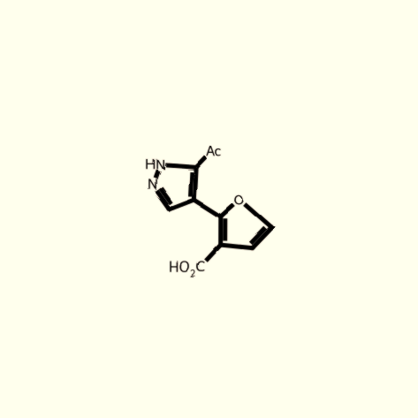 CC(=O)c1[nH]ncc1-c1occc1C(=O)O